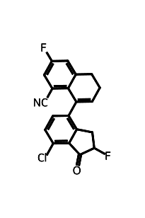 N#Cc1cc(F)cc2c1C(c1ccc(Cl)c3c1CC(F)C3=O)=CCC2